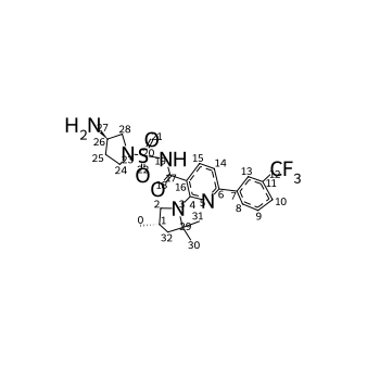 C[C@@H]1CN(c2nc(-c3cccc(C(F)(F)F)c3)ccc2C(=O)NS(=O)(=O)N2CC[C@@H](N)C2)C(C)(C)C1